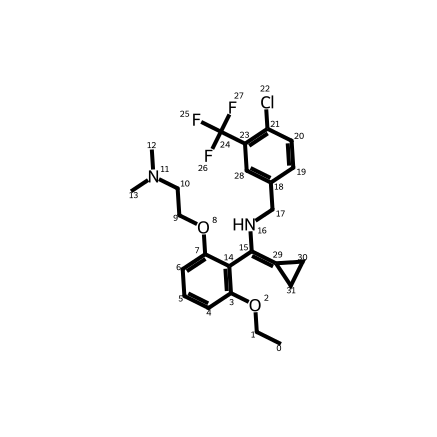 CCOc1cccc(OCCN(C)C)c1C(NCc1ccc(Cl)c(C(F)(F)F)c1)=C1CC1